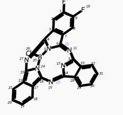 Fc1cc2c3n4/c(c2cc1F)=N\C1=NC(=N\c2c5ccccc5c(n2B4Cl)N=3)/c2ccccc21